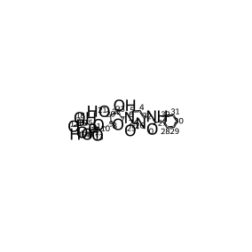 O=C(Nc1ccn([C@@H]2O[C@H](COP(=O)(O)CP(=O)(O)O)C(O)C2O)c(=O)n1)c1ccccc1